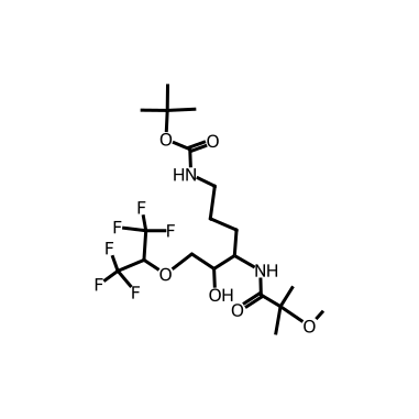 COC(C)(C)C(=O)NC(CCCNC(=O)OC(C)(C)C)C(O)COC(C(F)(F)F)C(F)(F)F